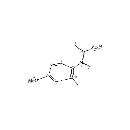 COc1ccc(N(C)C(C)C(=O)O)c(C)c1